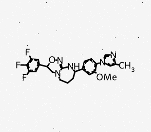 COc1cc(C2CCCN3CC(c4cc(F)c(F)c(F)c4)ON=C3N2)ccc1-n1cnc(C)c1